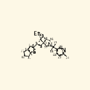 CCOCC1(CCc2cc3c(s2)CCC3)CCN(C(C)(C)c2ccc(C)nc2)C1